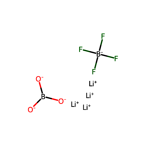 F[B-](F)(F)F.[Li+].[Li+].[Li+].[Li+].[O-]B([O-])[O-]